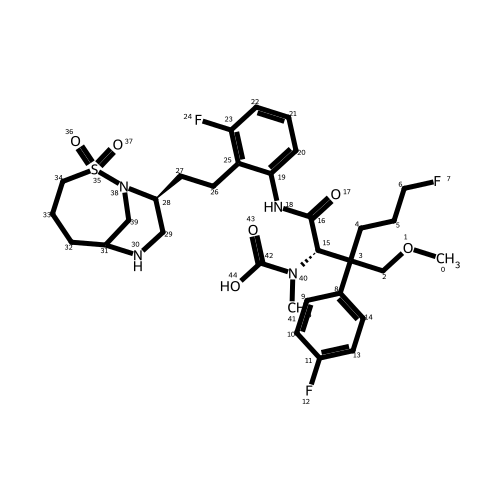 COCC(CCCF)(c1ccc(F)cc1)[C@@H](C(=O)Nc1cccc(F)c1CC[C@H]1CNC2CCCS(=O)(=O)N1C2)N(C)C(=O)O